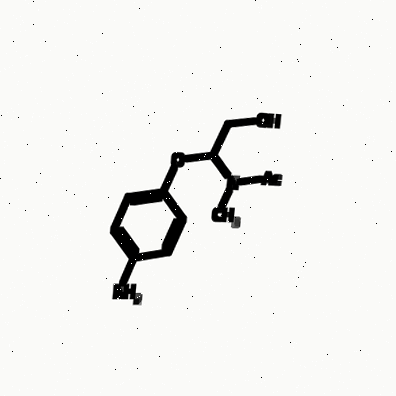 CC(=O)N(C)C(CO)Oc1ccc(N)cc1